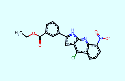 CCOC(=O)c1cccc(-c2cc3c(Cl)c4cccc([N+](=O)[O-])c4nc3[nH]2)c1